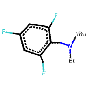 CCN(c1c(F)cc(F)cc1F)C(C)(C)C